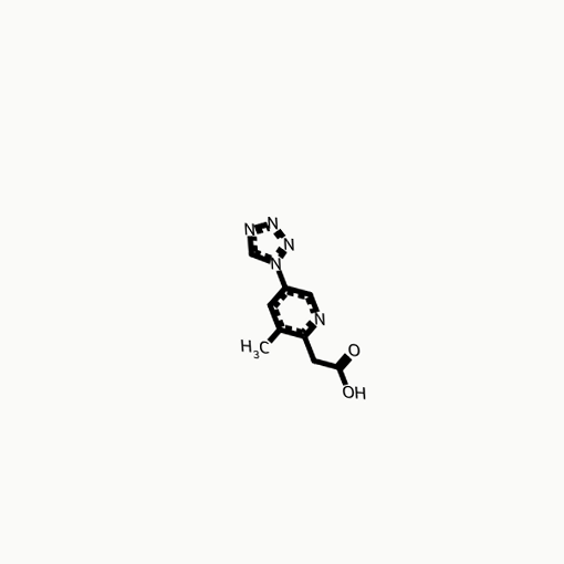 Cc1cc(-n2cnnn2)cnc1CC(=O)O